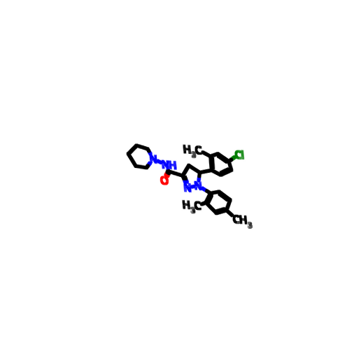 Cc1ccc(N2N=C(C(=O)NN3CCCCC3)CC2c2ccc(Cl)cc2C)c(C)c1